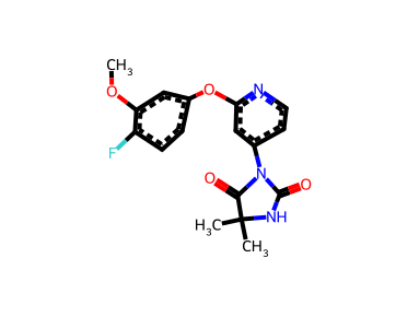 COc1cc(Oc2cc(N3C(=O)NC(C)(C)C3=O)ccn2)ccc1F